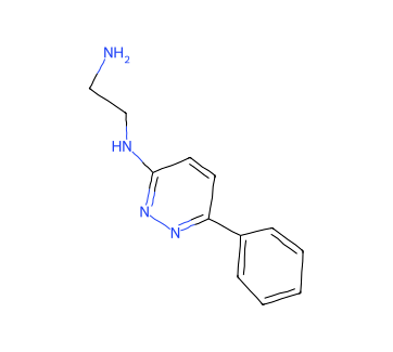 NCCNc1ccc(-c2ccccc2)nn1